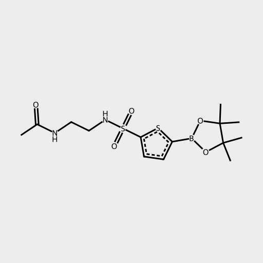 CC(=O)NCCNS(=O)(=O)c1ccc(B2OC(C)(C)C(C)(C)O2)s1